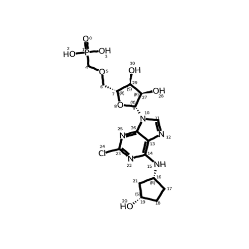 O=P(O)(O)COC[C@H]1O[C@@H](n2cnc3c(N[C@@H]4CC[C@H](O)C4)nc(Cl)nc32)[C@H](O)[C@@H]1O